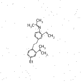 C=Cc1cc(CCc2ccc(CC)cc2C(=C)C)ccc1N=C(C)C